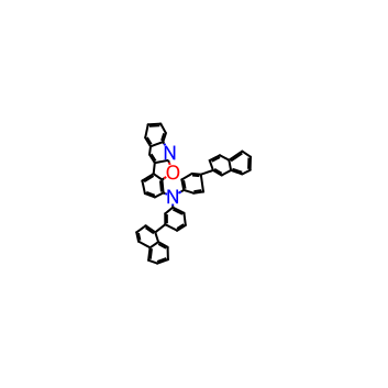 c1cc(-c2cccc3ccccc23)cc(N(c2ccc(-c3ccc4ccccc4c3)cc2)c2cccc3c2oc2nc4ccccc4cc23)c1